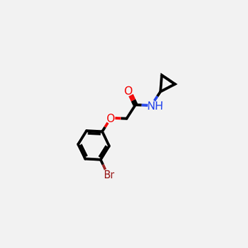 O=C(COc1cccc(Br)c1)NC1CC1